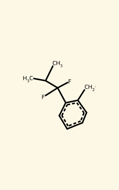 [CH2]c1ccccc1C(F)(F)C(C)C